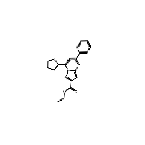 CCOC(=O)c1cc2nc(-c3ccccc3)cc(C3CCCO3)n2n1